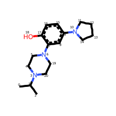 CC(C)N1CCN(c2cc(N3CCCC3)ccc2O)CC1